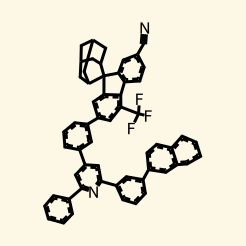 N#Cc1ccc2c(c1)C1(c3cc(-c4cccc(-c5cc(-c6ccccc6)nc(-c6cccc(-c7ccc8ccccc8c7)c6)c5)c4)cc(C(F)(F)F)c3-2)C2CC3CC(C2)CC1C3